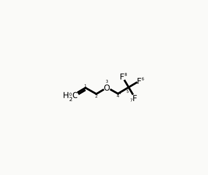 C=CCO[CH]C(F)(F)F